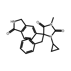 CN1C(=O)N(C2CC2)C(Cc2ccccc2)(c2ccc3c(c2)CNC3=O)C1=O